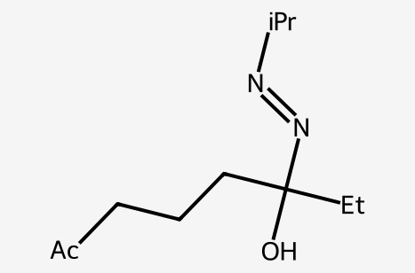 CCC(O)(CCCC(C)=O)N=NC(C)C